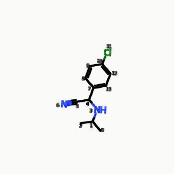 CC(C)NC(C#N)c1ccc(Cl)cc1